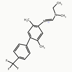 CCN(C)/C=N/c1cc(C)c(-c2ccc(C(F)(F)F)cc2)cc1C